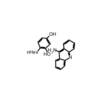 CCCCCCc1ccc(O)cc1O.Nc1c2ccccc2nc2ccccc12